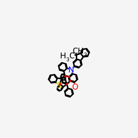 CC1(C)c2ccccc2-c2ccc(N(c3ccc4c(c3)C3(c5ccccc5O4)c4ccccc4-c4ccccc43)c3ccccc3-c3cccc4sc5ccccc5c34)cc21